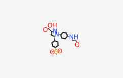 CS(=O)(=O)c1ccc(-c2cc(C(=O)O)nn2-c2ccc(NCC=O)cc2)cc1